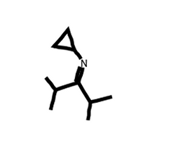 CC(C)C(=NC1CC1)C(C)C